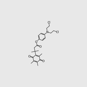 CC1=C(C)C(=O)C(C(C)(C)CC(=O)Oc2ccc(N(CCCl)CCCl)cc2)=C(C)C1=O